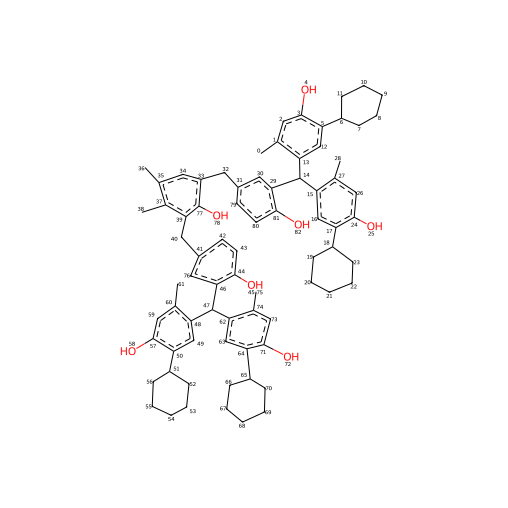 Cc1cc(O)c(C2CCCCC2)cc1C(c1cc(C2CCCCC2)c(O)cc1C)c1cc(Cc2cc(C)c(C)c(Cc3ccc(O)c(C(c4cc(C5CCCCC5)c(O)cc4C)c4cc(C5CCCCC5)c(O)cc4C)c3)c2O)ccc1O